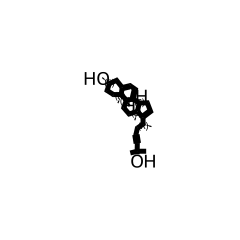 C[C@H](CC#CC(C)(C)O)C1=CC[C@H]2C3=CC=C4C[C@@H](O)CC[C@]4(C)[C@H]3CC[C@]12C